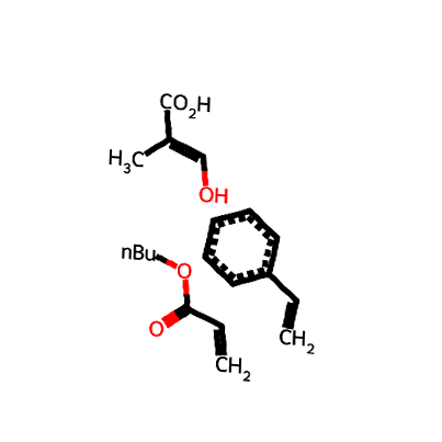 C=CC(=O)OCCCC.C=Cc1ccccc1.CC(=CO)C(=O)O